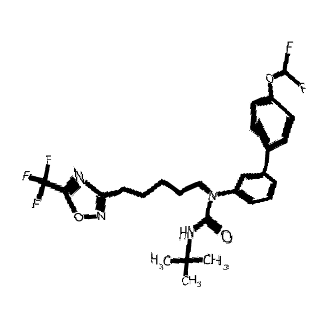 CC(C)(C)NC(=O)N(CCCCCc1noc(C(F)(F)F)n1)c1cccc(-c2ccc(OC(F)F)cc2)c1